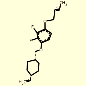 C=C[C@H]1CC[C@H](COc2ccc(OC/C=C/C)c(F)c2F)CC1